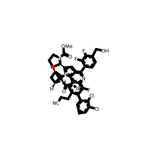 COC(=O)N1CCC[C@@H]1c1cc2c(-c3ccc(CO)c(F)c3F)nc3c(F)c(-c4cccc(Cl)c4Cl)c(CCC#N)cc3c2n1[C@H]1[C@@H]2C[C@H]1N(C(=O)OC(C)(C)C)C2